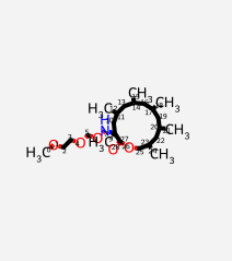 COCCOCONC1(C)CC(C)CC(C)CC(C)CC(C)CC(C)COC1=O